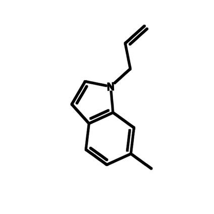 C=CCn1ccc2ccc(C)cc21